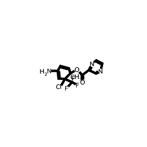 CC1(OC(=O)c2cnccn2)C=CC(N)=CC1(Cl)C(F)(F)F